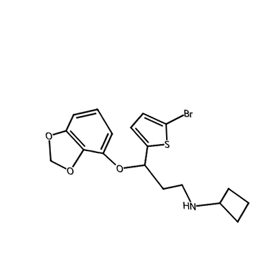 Brc1ccc(C(CCNC2CCC2)Oc2cccc3c2OCO3)s1